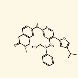 CC(C)c1noc(-c2cnc(Nc3ccc4c(c3)CN(C)C(=O)C4)nc2N[C@H](CO)c2ccccc2)n1